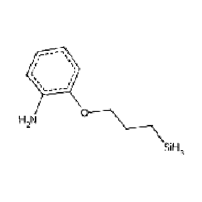 Nc1ccccc1OCCC[SiH3]